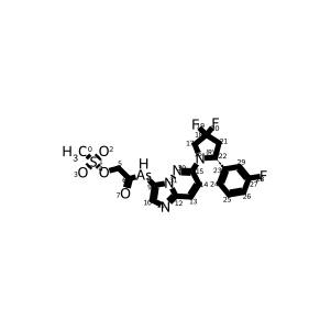 CS(=O)(=O)OCC(=O)[AsH]c1cnc2ccc(N3CC(F)(F)C[C@@H]3c3cccc(F)c3)nn12